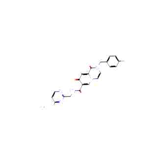 COc1ccnc(CNC(=O)c2cn3ccn(Cc4ccc(F)cc4)c(=O)c3c(O)c2=O)n1